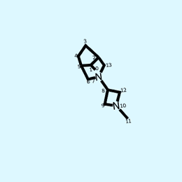 CC1C2CCC1CN(C1CN(C)C1)C2